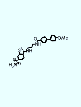 COc1ccc(-c2ccc(C(=O)NCCCNc3nsc4cc(S(N)(=O)=O)ccc34)cc2)cc1